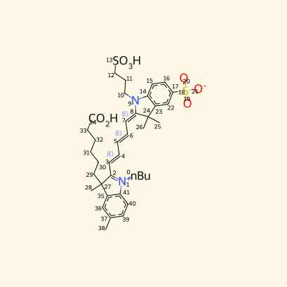 CCCC[N+]1=C(/C=C/C=C/C=C2/N(CCCS(=O)(=O)O)c3ccc(S(=O)(=O)[O-])cc3C2(C)C)C(C)(CCCCCC(=O)O)c2cc(C)ccc21